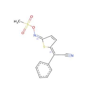 CS(=O)(=O)O/N=C1C=C/C(=C(\C#N)c2ccccc2)S\1